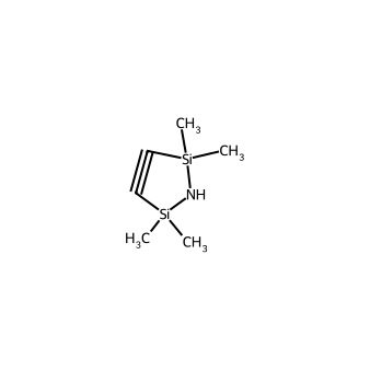 C[Si]1(C)C#C[Si](C)(C)N1